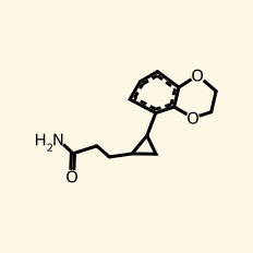 NC(=O)CCC1CC1c1cccc2c1OCCO2